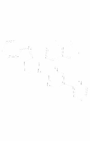 c1ccc(-c2cnc(N3CCC4C(=Nc5ccccc54)C3c3ccc4occc4c3)nc2)nc1